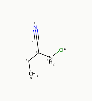 CCC(C#N)[SiH2]Cl